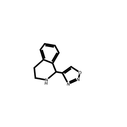 c1ccc2c(c1)CCNC2c1conn1